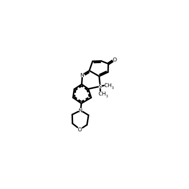 CS1(C)C2=CC(=O)C=CC2=Nc2ccc(N3CCOCC3)cc21